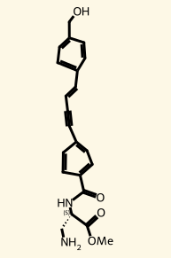 COC(=O)[C@H](CN)NC(=O)c1ccc(C#CC=Cc2ccc(CO)cc2)cc1